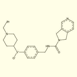 CC(C)CN1CCC([S+]([O-])c2ccc(CNC(=O)N3Cc4ccncc4C3)cc2)CC1